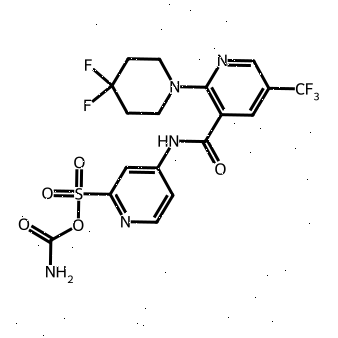 NC(=O)OS(=O)(=O)c1cc(NC(=O)c2cc(C(F)(F)F)cnc2N2CCC(F)(F)CC2)ccn1